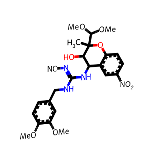 COc1ccc(CNC(=NC#N)NC2c3cc([N+](=O)[O-])ccc3OC(C)(C(OC)OC)C2O)cc1OC